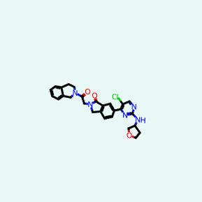 O=C(CN1Cc2ccc(-c3nc(NC4CCOC4)ncc3Cl)cc2C1=O)N1CCc2ccccc2C1